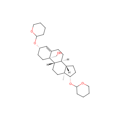 C[C@]12CC[C@H]3[C@@H](CCC4=C[C@@H](OC5CCCCO5)CC[C@@]43CO)[C@@H]1CC[C@@H]2OC1CCCCO1